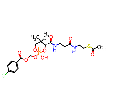 CC(=O)SCCNC(=O)CCNC(=O)[C@@H]1O[PH](O)(OCOC(=O)c2ccc(Cl)cc2)OCC1(C)C